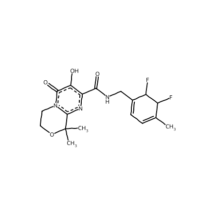 CC1=CC=C(CNC(=O)c2nc3n(c(=O)c2O)CCOC3(C)C)C(F)C1F